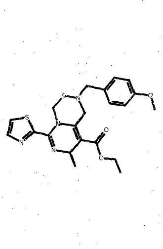 CCOC(=O)C1=C2CN(Cc3ccc(OC)cc3)SCN2C(c2nccs2)=NC1C